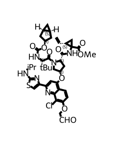 C=C[C@@H]1CC1(NC(=O)[C@@H]1C[C@@H](Oc2cc(-c3csc(NC(C)C)n3)nc3c(Cl)c(OCC=O)ccc23)CN1C(=O)[C@@H](NC(=O)O[C@@H]1C[C@@H]2C[C@@H]2C1)C(C)(C)C)C(=O)OC